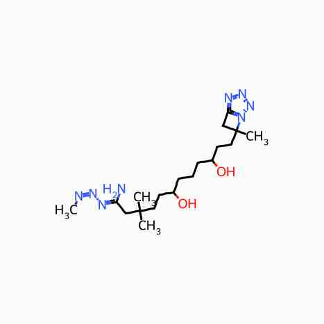 C/N=N\N=C(/N)CC(C)(C)CCC(O)CCCC(O)CCC1(C)Cc2nnnn21